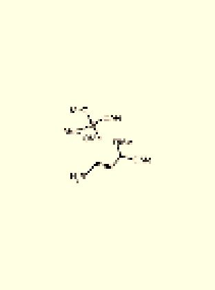 COC(C=C[SiH3])OC.CO[Si](OC)(OC)OC